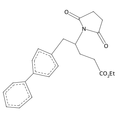 CCOC(=O)CCC(Cc1ccc(-c2ccccc2)cc1)N1C(=O)CCC1=O